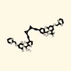 Cc1c(C#CC2CC2C2CC2C#Cc2ccc([C@@H](C)n3c(C(F)(F)F)cc(OCc4ncccn4)cc3=O)cc2)ccnc1C(C)n1ccc(OCc2ncccn2)cc1=O